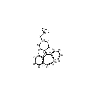 C=CCN1CCC(=C2c3ccccc3C=Cc3ccccc32)CC1